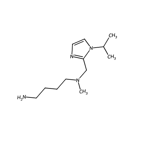 CC(C)n1ccnc1CN(C)CCCCN